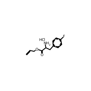 C=CCOC(=O)C(N)Cc1ccc(F)cc1.Cl